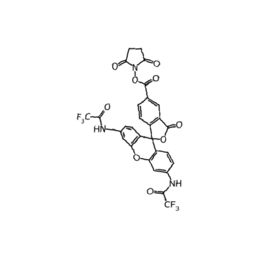 O=C(ON1C(=O)CCC1=O)c1ccc2c(c1)C(=O)OC21c2ccc(NC(=O)C(F)(F)F)cc2Oc2cc(NC(=O)C(F)(F)F)ccc21